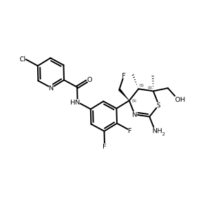 C[C@@H]1[C@@](C)(CO)SC(N)=N[C@]1(CF)c1cc(NC(=O)c2ccc(Cl)cn2)cc(F)c1F